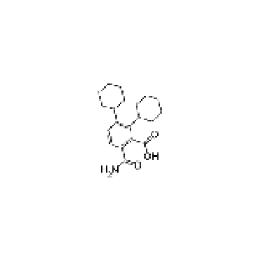 NC(=O)c1ccc(C2CCCCC2)c(C2CCCCC2)c1C(=O)O